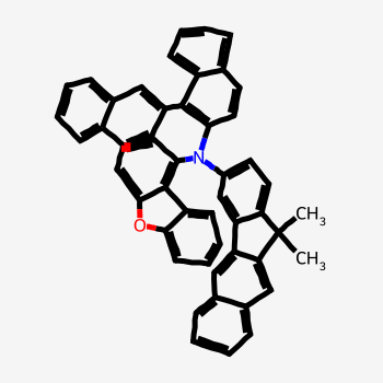 CC1(C)c2ccc(N(c3ccc4ccccc4c3-c3ccc4ccccc4c3)c3cccc4oc5ccccc5c34)cc2-c2cc3ccccc3cc21